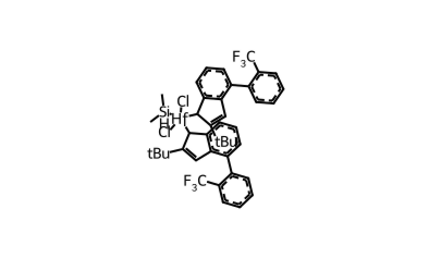 C[SiH](C)[Hf]([Cl])([Cl])([CH]1C(C(C)(C)C)=Cc2c(-c3ccccc3C(F)(F)F)cccc21)[CH]1C(C(C)(C)C)=Cc2c(-c3ccccc3C(F)(F)F)cccc21